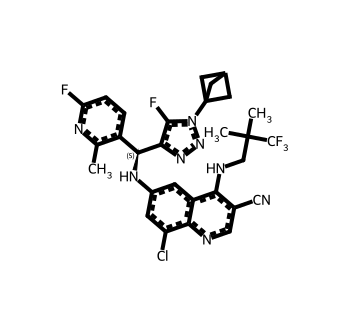 Cc1nc(F)ccc1[C@H](Nc1cc(Cl)c2ncc(C#N)c(NCC(C)(C)C(F)(F)F)c2c1)c1nnn(C23CC(C2)C3)c1F